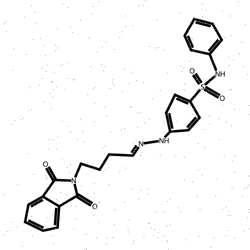 O=C1c2ccccc2C(=O)N1CCCC=NNc1ccc(S(=O)(=O)Nc2ccccc2)cc1